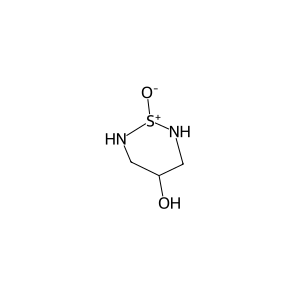 [O-][S+]1NCC(O)CN1